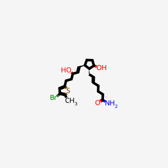 Cc1sc(CCC(O)C=C[C@H]2CCC(O)[C@@H]2CC=CCCCC(N)=O)cc1Br